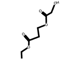 CCOC(=O)CCOC(=O)CO